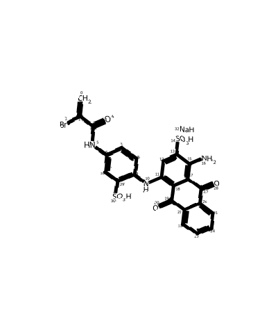 C=C(Br)C(=O)Nc1ccc(Nc2cc(S(=O)(=O)O)c(N)c3c2C(=O)c2ccccc2C3=O)c(S(=O)(=O)O)c1.[NaH]